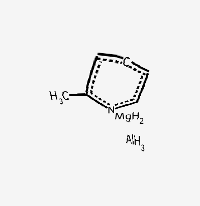 Cc1ccccn1.[AlH3].[MgH2]